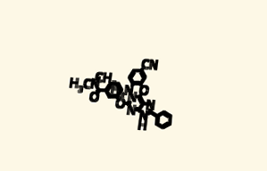 CN(C)C(=O)c1cccc(Oc2nc(Oc3cc(C#N)ccc3N)c3nc(-c4ccccc4)[nH]c3n2)c1